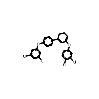 Clc1cc(Cl)cc(Oc2ccc(C3=CC(Oc4ccc(Cl)c(Cl)c4)=CC[CH]3)cc2)c1